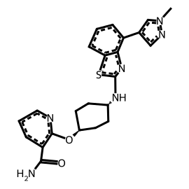 Cn1cc(-c2cccc3sc(N[C@H]4CC[C@H](Oc5ncccc5C(N)=O)CC4)nc23)cn1